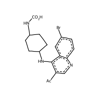 CC(=O)c1cnc2ccc(Br)cc2c1NC1CCC(NC(=O)O)CC1